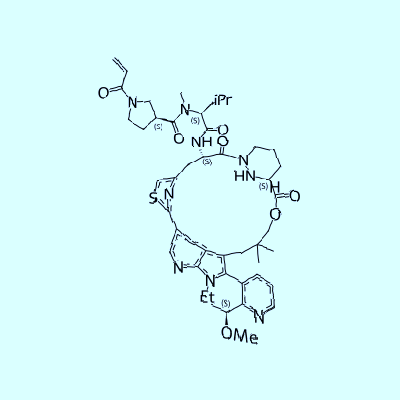 C=CC(=O)N1CC[C@H](C(=O)N(C)[C@H](C(=O)N[C@H]2Cc3csc(n3)-c3cnc4c(c3)c(c(-c3cccnc3[C@H](C)OC)n4CC)CC(C)(C)COC(=O)[C@@H]3CCCN(N3)C2=O)C(C)C)C1